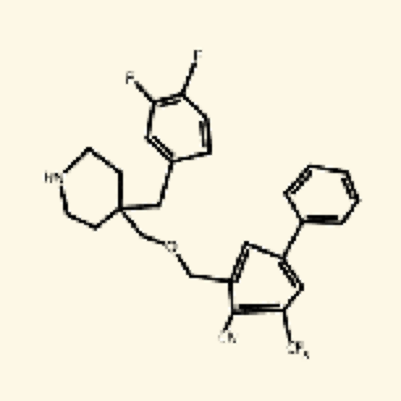 N#Cc1c(COCC2(Cc3ccc(F)c(F)c3)CCNCC2)cc(-c2ccccc2)cc1C(F)(F)F